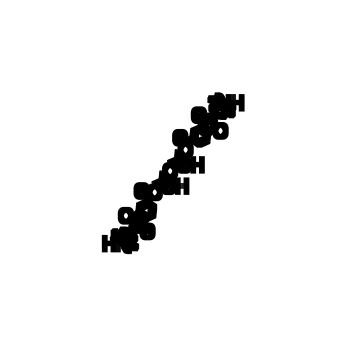 CC1(C)CC(N2C(=O)c3ccc(C(=O)OCC(O)COCC(O)COC(=O)c4ccc5c(c4)C(=O)N(C4CC(C)(C)NC(C)(C)C4)C5=O)cc3C2=O)CC(C)(C)N1